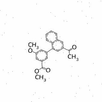 COC(=O)c1cc(OC)cc(-c2cc(C(C)=O)cc3ccccc23)c1